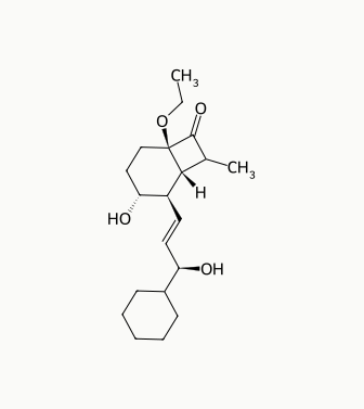 CCO[C@]12CC[C@@H](O)[C@H](/C=C/[C@@H](O)C3CCCCC3)[C@H]1C(C)C2=O